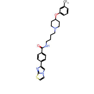 O=C(NCCCCN1CCC(Oc2cccc(C(F)(F)F)c2)CC1)c1ccc(-c2cn3ccsc3n2)cc1